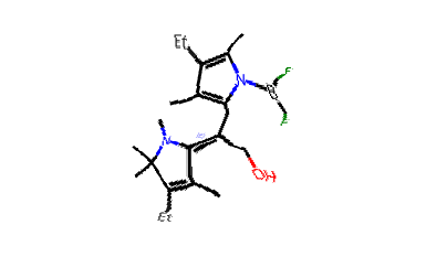 CCC1=C(C)/C(=C(\CO)c2c(C)c(CC)c(C)n2B(F)F)N(C)C1(C)C